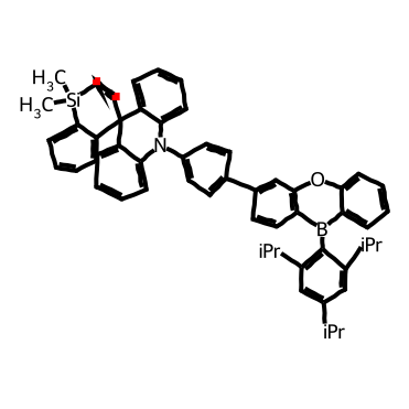 CC(C)c1cc(C(C)C)c(B2c3ccccc3Oc3cc(-c4ccc(N5c6ccccc6C6(c7ccccc75)c5ccccc5[Si](C)(C)c5ccccc56)cc4)ccc32)c(C(C)C)c1